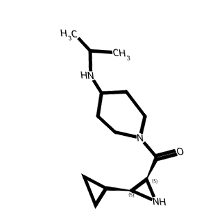 CC(C)NC1CCN(C(=O)[C@H]2N[C@H]2C2CC2)CC1